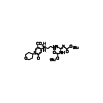 CC(C)(C)OC(=O)/N=C(/NOCCNc1cc(=O)n(C2CCOCC2)cc1C(=O)O)NC(=O)OC(C)(C)C